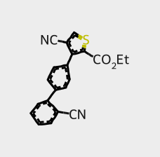 CCOC(=O)c1scc(C#N)c1-c1ccc(-c2ccccc2C#N)cc1